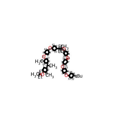 CCC(C)(CC)Oc1ccc(C(C)c2ccc(Oc3ccc(Oc4ccc(C(CC)(CC)C(C)(C)Oc5ccc(Oc6ccc(Oc7ccc(Oc8ccc(C(C)(C)C)cc8)cc7)cc6)cc5)cc4)cc3)c(C)c2)cc1C